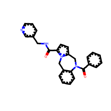 O=C(NCc1cccnc1)c1ccc2n1Cc1ccccc1N(C(=O)c1ccccc1)C2